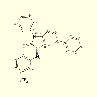 O=C1/C(=N\c2cccc(C(F)(F)F)c2)c2cc(-c3ccccc3)ccc2N1c1ccccc1